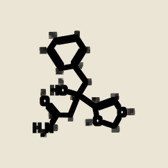 NC(=O)CC(O)(Cc1ccccc1)C1=COCO1